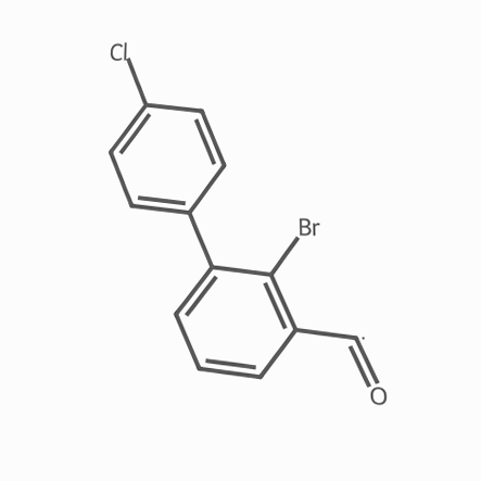 O=[C]c1cccc(-c2ccc(Cl)cc2)c1Br